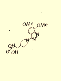 COc1ccc2c(N3CCC(CCP(=O)(O)O)CC3)ncnc2c1OC